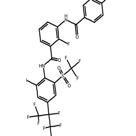 O=C(Nc1cccc(C(=O)Nc2c(I)cc(C(F)(C(F)(F)F)C(F)(F)F)cc2S(=O)(=O)C(F)(F)F)c1F)c1ccc(F)cc1